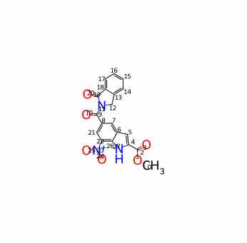 COC(=O)c1cc2cc(C(=O)N3Cc4ccccc4C3=O)cc([N+](=O)[O-])c2[nH]1